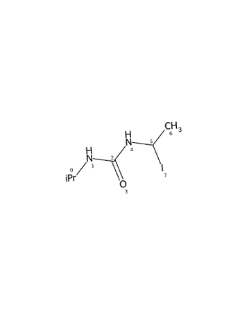 CC(C)NC(=O)NC(C)I